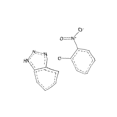 O=[N+]([O-])c1ccccc1Cl.c1ccc2[nH]nnc2c1